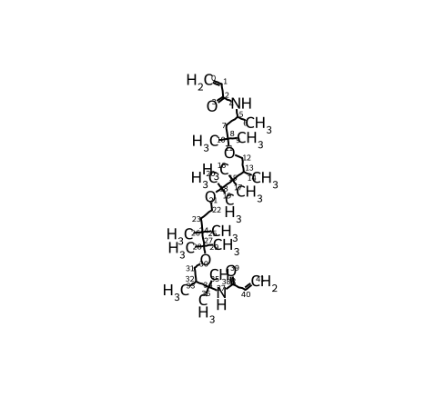 C=CC(=O)NC(C)CC(C)(C)OCC(C)C(C)(C)C(C)(C)OCCC(C)(C)C(C)(C)OCC(C)C(C)(C)NC(=O)C=C